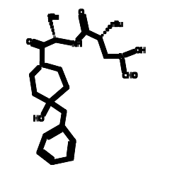 CCCC[C@H](CN(O)C=O)C(=O)N[C@H](C(=O)N1CCC(O)(Cc2ccccc2)CC1)C(C)(C)C